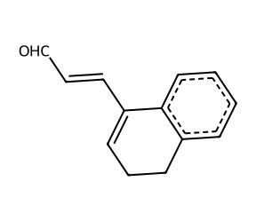 O=CC=CC1=CCCc2ccccc21